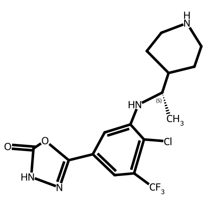 C[C@H](Nc1cc(-c2n[nH]c(=O)o2)cc(C(F)(F)F)c1Cl)C1CCNCC1